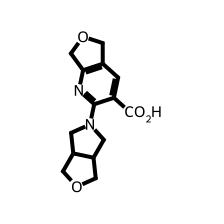 O=C(O)c1cc2c(nc1N1CC3COCC3C1)COC2